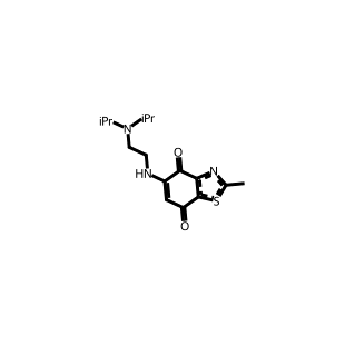 Cc1nc2c(s1)C(=O)C=C(NCCN(C(C)C)C(C)C)C2=O